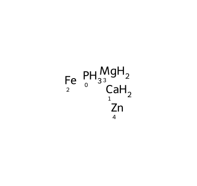 P.[CaH2].[Fe].[MgH2].[Zn]